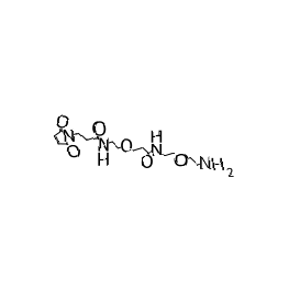 NCCOCCNC(=O)CCOCCNC(=O)CCN1C(=O)C=CC1=O